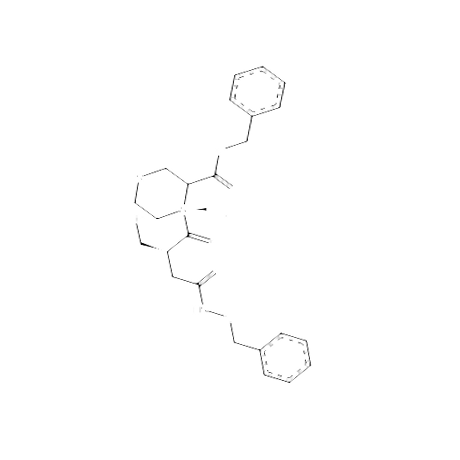 CC(C)C[C@H](CC(=O)NOCc1ccccc1)C(=O)[N@+]1(C(=O)O)CCNCC1C(=O)OCc1ccccc1